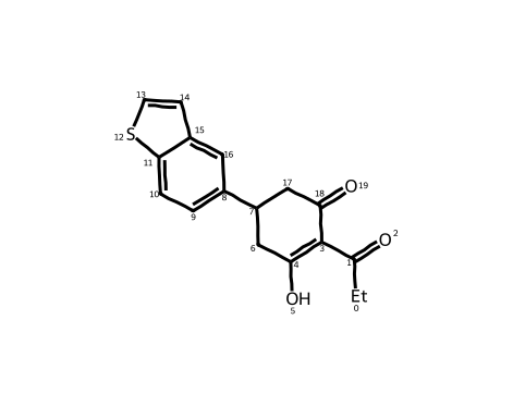 CCC(=O)C1=C(O)CC(c2ccc3sccc3c2)CC1=O